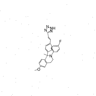 COc1ccc2c(c1)CCN(c1ccc(F)cc1)C2(C)c1ccc(/C=C/c2nn[nH]n2)cc1